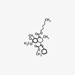 CCCCCCOC(=O)N1c2cc(OC)c(OC)cc2[C@@H](N(Cc2ccccc2)C(=O)OCC)C[C@H]1C